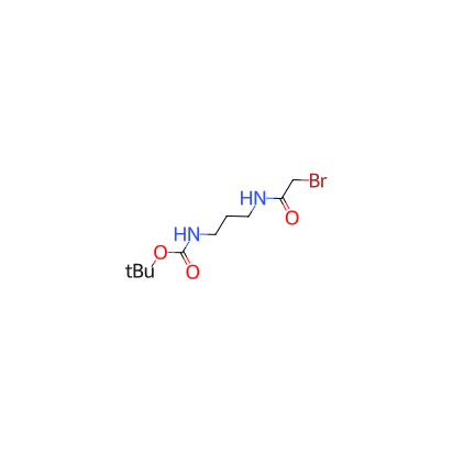 CC(C)(C)OC(=O)NCCCNC(=O)CBr